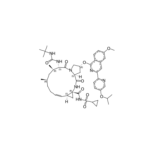 COc1ccc2c(O[C@@H]3C[C@H]4C(=O)N[C@]5(C(=O)NS(=O)(=O)C6CC6)C[C@H]5C=CCC[C@@H](C)C[C@@H](C)[C@H](NC(=O)NC(C)(C)C)C(=O)N4C3)nc(-c3ccc(OC(C)C)cn3)cc2c1